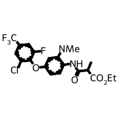 CCOC(=O)C(C)C(=O)Nc1ccc(Oc2c(F)cc(C(F)(F)F)cc2Cl)cc1NC